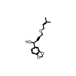 CC(C)=CCOCC#CC(O)c1ccc2c(c1)OCO2